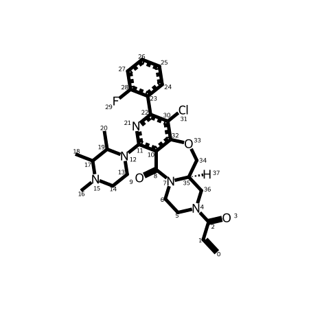 C=CC(=O)N1CCN2C(=O)c3c(N4CCN(C)C(C)C4C)nc(-c4ccccc4F)c(Cl)c3OC[C@H]2C1